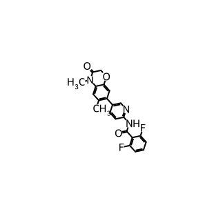 Cc1cc2c(cc1-c1ccc(NC(=O)c3c(F)cccc3F)nc1)OCC(=O)N2C